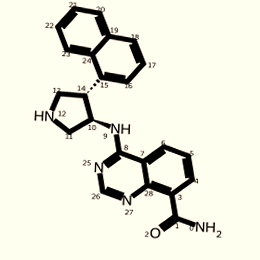 NC(=O)c1cccc2c(N[C@H]3CNC[C@@H]3c3cccc4ccccc34)ncnc12